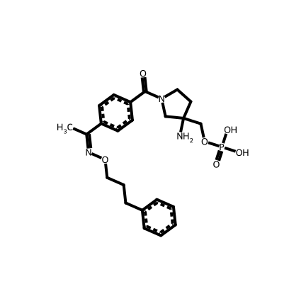 CC(=NOCCCc1ccccc1)c1ccc(C(=O)N2CCC(N)(COP(=O)(O)O)C2)cc1